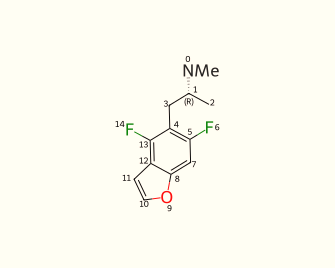 CN[C@H](C)Cc1c(F)cc2occc2c1F